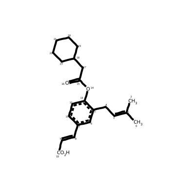 CC(C)=CCc1cc(/C=C/C(=O)O)ccc1OC(=O)CC1CCCCC1